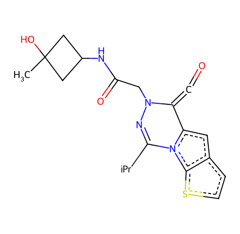 CC(C)C1=NN(CC(=O)NC2CC(C)(O)C2)C(=C=O)c2cc3ccsc3n21